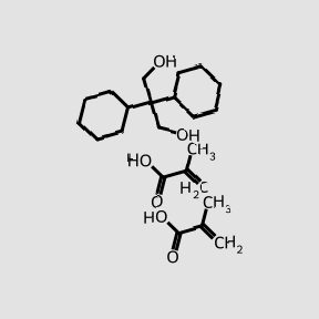 C=C(C)C(=O)O.C=C(C)C(=O)O.OCC(CO)(C1CCCCC1)C1CCCCC1